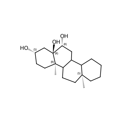 C[C@@]12CCCCC1C1C[C@@H](O)[C@@]3(O)C[C@@H](O)CC[C@]3(C)C1CC2